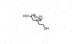 CCN.F.OCCNCCO